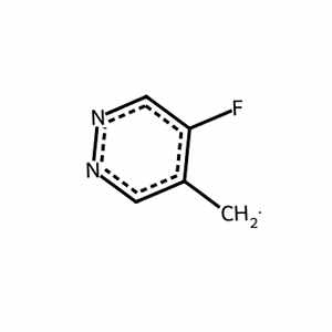 [CH2]c1cnncc1F